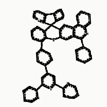 c1ccc(-c2nc3ccccc3c3cc4c(cc23)Sc2c(-c3ccc(-c5cc(-c6ccccn6)nc(-c6ccccn6)c5)cc3)cccc2C42c3ccccc3-c3ccccc32)cc1